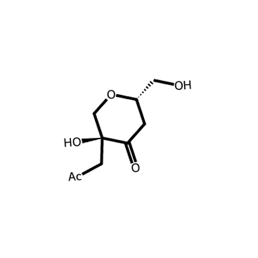 CC(=O)C[C@]1(O)CO[C@H](CO)CC1=O